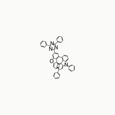 c1ccc(-c2ccc3c4c(-c5cc(-c6nc(-c7ccccc7)nc(-c7ccccc7)n6)cc6oc7ccccc7c56)cccc4n(-c4ccccc4)c3c2)cc1